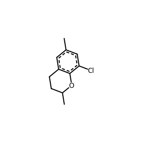 Cc1cc(Cl)c2c(c1)CCC(C)O2